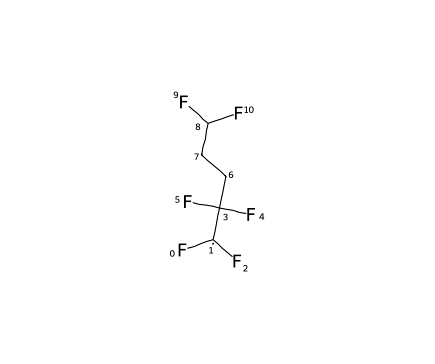 F[C](F)C(F)(F)CCC(F)F